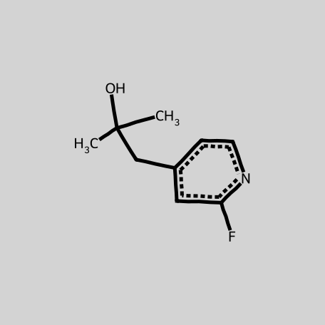 CC(C)(O)Cc1ccnc(F)c1